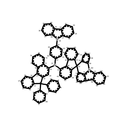 c1ccc(C2(c3ccccc3)c3ccccc3-c3c2cc(N(c2ccc(-n4c5ccccc5c5ccccc54)cc2)c2cccc4c2-c2ccccc2C42c4ccccc4-n4c5ccccc5c5cccc2c54)c2ccccc32)cc1